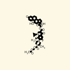 COc1c(N2CCN(C(=O)OCOC(C)=O)C(C)C2)c(F)cc2c(=O)c(C(=O)OCC(=O)[C@@]3(O)CCC4C5CCC6=CC(=O)C=C[C@]6(C)C5[C@@H](O)C[C@@]43C)cn(C3CC3)c12